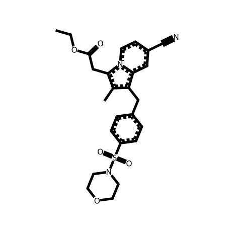 CCOC(=O)Cc1c(C)c(Cc2ccc(S(=O)(=O)N3CCOCC3)cc2)c2cc(C#N)ccn12